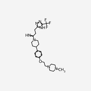 CN1CCN(CCOc2ccc(C3CCN(C(=N)CCc4nnc(C(F)(F)F)[nH]4)CC3)cc2)CC1